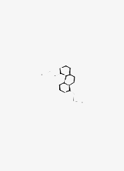 OCCc1cccc2c1ccc1cccc(CCO)c12